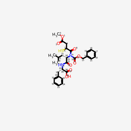 COC(=O)CC(S)C(=O)N(C(=O)OCc1ccccc1)[C@@H](CC(C)C)C(=O)N[C@@H](Cc1ccccc1)C(=O)O